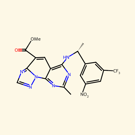 COC(=O)c1cc2c(N[C@H](C)c3cc([N+](=O)[O-])cc(C(F)(F)F)c3)nc(C)nc2n2ncnc12